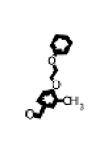 Cc1cc(C=O)ccc1OCCOc1ccccc1